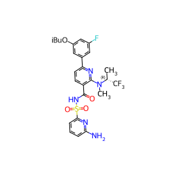 CC(C)COc1cc(F)cc(-c2ccc(C(=O)NS(=O)(=O)c3cccc(N)n3)c(N(C)[C@H](C)C(F)(F)F)n2)c1